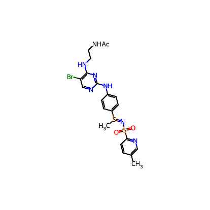 CC(=O)NCCNc1nc(Nc2ccc(S(C)=NS(=O)(=O)c3ccc(C)cn3)cc2)ncc1Br